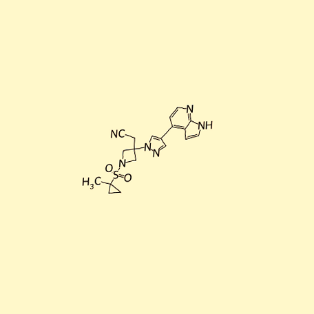 CC1(S(=O)(=O)N2CC(CC#N)(n3cc(-c4ccnc5[nH]ccc45)cn3)C2)CC1